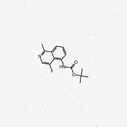 Cc1ncc(F)c2c(NC(=O)OC(C)(C)C)cccc12